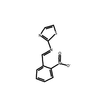 O=[N+]([O-])c1ccccc1C=Nc1nccs1